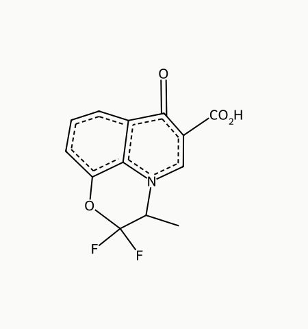 CC1n2cc(C(=O)O)c(=O)c3cccc(c32)OC1(F)F